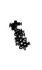 C[C@H](Nc1cc(Cl)nc2c1cnn2[C@@H]1O[C@H](COP(=O)(O)CP(=O)(O)O)C(O)(O)[C@H]1O)c1ccc(F)cc1